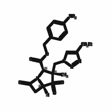 CCOC(=O)c1cn(C[C@@]2(C)[C@H](C(=O)OCc3ccc([N+](=O)[O-])cc3)N3C(=O)C[C@H]3S2(=O)=O)nn1